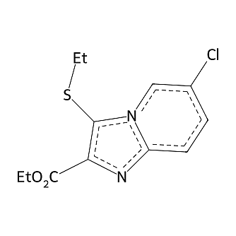 CCOC(=O)c1nc2ccc(Cl)cn2c1SCC